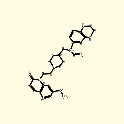 COc1cnc2ccc(=O)n(CCN3CCC(CN(C=O)c4ccc5c(c4)OCCO5)CC3)c2c1